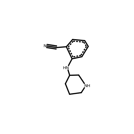 N#Cc1ccccc1NC1CCCNC1